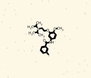 COc1ccc(NC(=O)c2cccc(I)c2)cc1OCCN(C(C)C)C(C)C